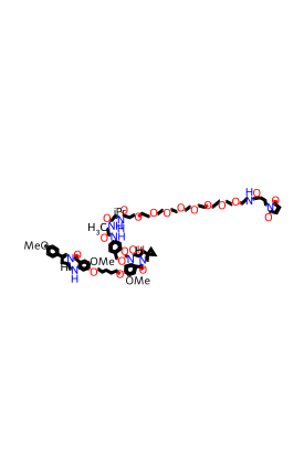 COc1ccc(C2=CN3C(=O)c4cc(OC)c(OCCCCCOc5cc6c(cc5OC)C(=O)N5CC7(CC7)C[C@H]5C(O)N6C(=O)OCc5ccc(NC(=O)C(C)NC(=O)[C@H](NC(=O)CCOCCOCCOCCOCCOCCOCCOCCOCCNC6OC6CCN6C(=O)C=CC6=O)C(C)C)cc5)cc4NC[C@H]3C2)cc1